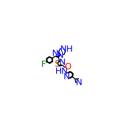 CN1CC(c2ccc(NC(=O)c3csc(-c4c(-c5ccc(F)cc5)nc5n4CCNC5)n3)nc2)C1